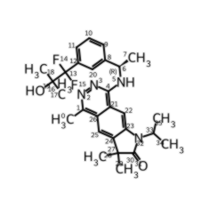 Cc1nnc(N[C@H](C)c2cccc(C(F)(F)C(C)(C)O)c2)c2cc3c(cc12)C(C)(C)C(=O)N3C(C)C